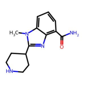 Cn1c(C2CCNCC2)nc2c(C(N)=O)cccc21